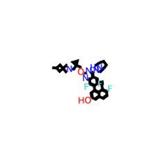 C#Cc1c(F)ccc2cc(O)cc(-c3c(F)cc4c(N5CC6CCC(C5)N6)nc(OCC5(CN6CC7(CC(C)C7)C6)CC5)nc4c3F)c12